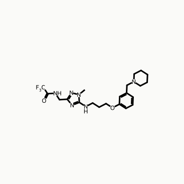 Cn1nc(CNC(=O)C(F)(F)F)nc1NCCCOc1cccc(CN2CCCCC2)c1